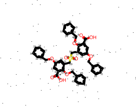 O=C(O)c1cc(OCc2ccccc2)cc(CS(=O)(=O)Cc2cc(OCc3ccccc3)cc(C(=O)O)c2OCc2ccccc2)c1OCc1ccccc1